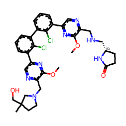 COc1nc(-c2cccc(-c3cccc(-c4cnc(CN5CCC(C)(CO)C5)c(OC)n4)c3Cl)c2Cl)cnc1CNC[C@@H]1CCC(=O)N1